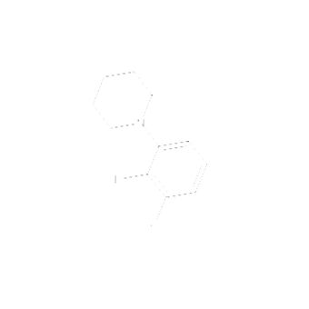 Fc1c(N2CC[CH]CC2)cccc1C(F)(F)F